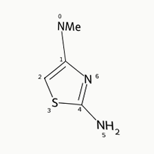 [CH2]Nc1csc(N)n1